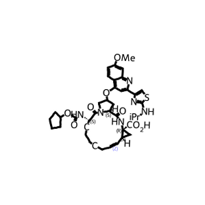 COc1ccc2c(OC3C[C@H]4C(=O)N[C@]5(C(=O)O)C[C@H]5/C=C\CCCCC[C@H](NC(=O)OC5CCCC5)C(=O)N4C3)cc(-c3csc(NC(C)C)n3)nc2c1